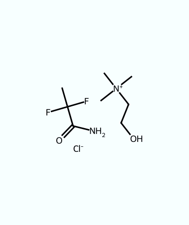 CC(F)(F)C(N)=O.C[N+](C)(C)CCO.[Cl-]